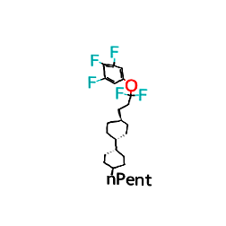 CCCCC[C@H]1CC[C@H]([C@H]2CC[C@H](CCC(F)(F)Oc3cc(F)c(F)c(F)c3)CC2)CC1